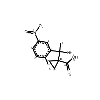 CC(N)(c1cc([N+](=O)[O-])ccc1F)C1(C(=O)O)CC1